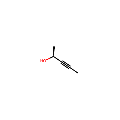 [CH2]C#C[C@H](C)O